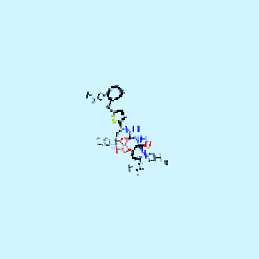 Cc1ccccc1Cc1ccc(C(CC(=O)O)NC(=O)Nc2c(O)cc(C)n(C)c2=O)s1